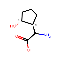 NC(C(=O)O)[C@@H]1CCC[C@H]1O